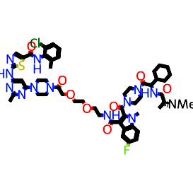 CN[C@@H](C)C(=O)NC(C(=O)N1CCN(C(=O)c2c(C(=O)NCCOCCOCC(=O)N3CCN(c4cc(Nc5ncc(C(=O)Nc6c(C)cccc6Cl)s5)nc(C)n4)CC3)c3cc(F)ccc3n2C)CC1)C1CCCCC1